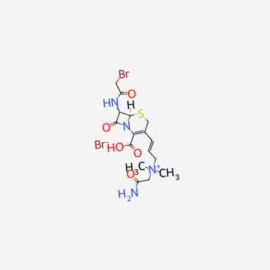 C[N+](C)(CC=CC1=C(C(=O)O)N2C(=O)[C@@H](NC(=O)CBr)[C@H]2SC1)CC(N)=O.[Br-]